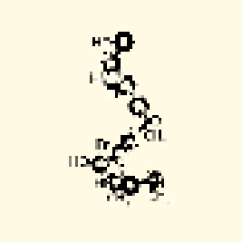 Cc1ncsc1-c1ccc([C@H](C)NC(=O)[C@@H]2C[C@@H](O)CN2C(=O)[C@@H](c2cc(O[C@H](C)C(=O)N3CCC(N4CCN5c6cc(-c7ccccc7O)nnc6NC[C@H]5C4)CC3)no2)C(C)C)cc1